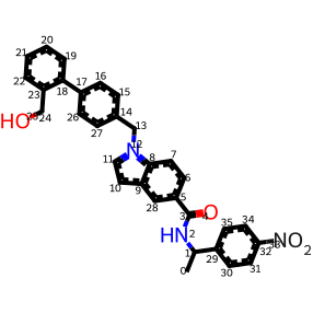 CC(NC(=O)c1ccc2c(ccn2Cc2ccc(-c3ccccc3CO)cc2)c1)c1ccc([N+](=O)[O-])cc1